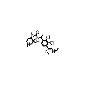 C=N/C(=C\N=C/C)c1ccc(C(C)NC(=O)N(C)[C@@H]2CCN(C)CC2(C)C)c(Cl)c1Cl